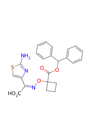 Nc1nc(C(=NOC2(C(=O)OC(c3ccccc3)c3ccccc3)CCC2)C(=O)O)cs1